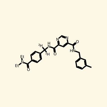 [2H]C([2H])(NC(=O)c1cc(C(=O)NCc2cccc(C)c2)ncn1)c1ccc(C(=O)N(CC)CC)cc1